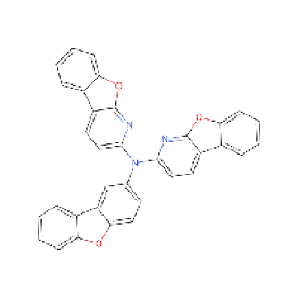 c1ccc2c(c1)oc1ccc(N(c3ccc4c(n3)oc3ccccc34)c3ccc4c(n3)oc3ccccc34)cc12